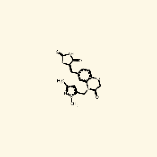 Cc1cc(CN2C(=O)COc3ccc(C=C4SC(=S)NC4=O)cc32)n(C)n1